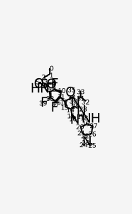 CCCS(=O)(=O)Nc1c(F)cc(-c2cc3cnc(NC4CCC(N(C)C)CC4)nc3n(C(C)C)c2=O)c(F)c1F